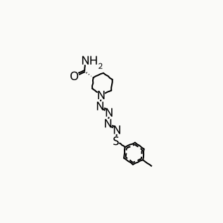 Cc1ccc(SN=NN=NN2CCC[C@@H](C(N)=O)C2)cc1